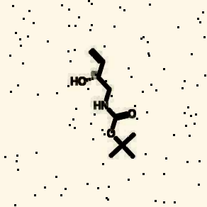 C=C[C@@H](O)CNC(=O)OC(C)(C)C